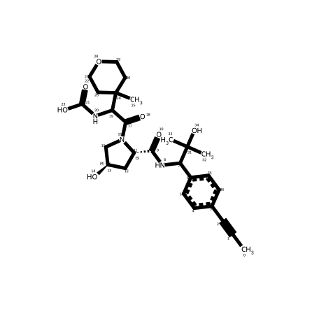 CC#Cc1ccc(C(NC(=O)[C@@H]2C[C@@H](O)CN2C(=O)C(NC(=O)O)C2(C)CCOCC2)C(C)(C)O)cc1